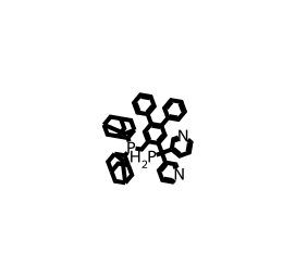 PC(c1cccnc1)(c1cccnc1)c1cc(-c2ccccc2)c(-c2ccccc2)cc1CP(C1C2CC3CC(C2)CC1C3)C1C2CC3CC(C2)CC1C3